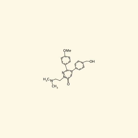 COc1ccc(-c2nn(CCN(C)C)c(=O)cc2-c2ccc(CO)cc2)cc1